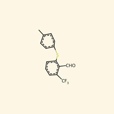 Cc1ccc(Sc2cccc(C(F)(F)F)c2C=O)cc1